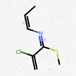 C=C(Cl)/C(=N\C=C/C)SC